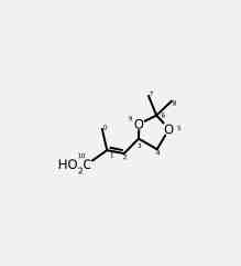 CC(=CC1COC(C)(C)O1)C(=O)O